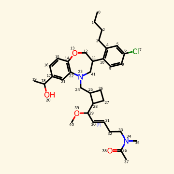 CCCCc1cc(Cl)ccc1C1COc2ccc(C(C)O)cc2N(CC2CCC2C(/C=C/CCN(C)C(C)=O)OC)C1